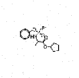 CC(C)P(=O)(N[C@H](C)C(=O)OC1CCCC1)Oc1ccccc1